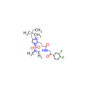 CCC(C)(C)Cc1cn(S(=O)(=O)N(C)C)c(CCC(=O)NCC(=O)c2ccc(F)c(F)c2)n1